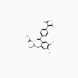 CCC1Cc2cc(OC)c(OC)cc2C(c2ccc(-c3c(C)noc3C)cc2)=NN1C(=O)NC